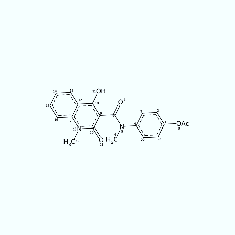 CC(=O)Oc1ccc(N(C)C(=O)c2c(O)c3ccccc3n(C)c2=O)cc1